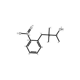 CC(O)C(C)(C)Cc1ccccc1[N+](=O)[O-]